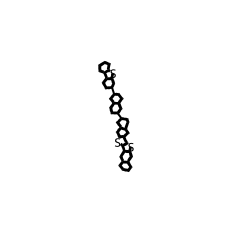 c1ccc2cc3c(cc2c1)sc1c2cc4ccc(-c5ccc6cc(-c7ccc8c(c7)sc7ccccc78)ccc6c5)cc4cc2sc31